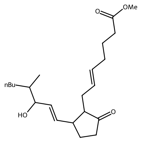 CCCCC(C)C(O)/C=C/C1CCC(=O)C1C/C=C/CCCC(=O)OC